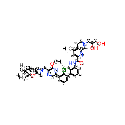 COc1nc(-c2cccc(-c3cccc(NC(=O)c4cc(C)c5c(n4)CN(CC(O)CO)CC5)c3Cl)c2Cl)cnc1CN1CC(O[Si](C)(C)C(C)(C)C)C1